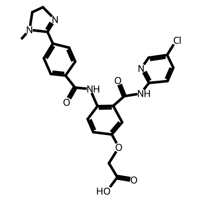 CN1CCN=C1c1ccc(C(=O)Nc2ccc(OCC(=O)O)cc2C(=O)Nc2ccc(Cl)cn2)cc1